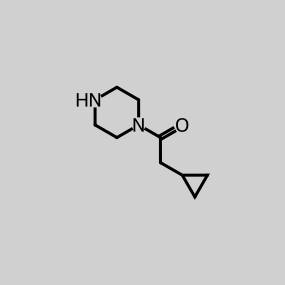 O=C(CC1CC1)N1CCNCC1